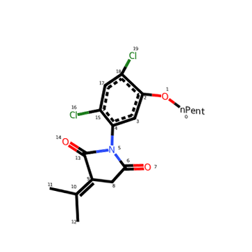 CCCCCOc1cc(N2C(=O)CC(=C(C)C)C2=O)c(Cl)cc1Cl